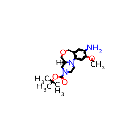 COc1cc2c(cc1N)COC[C@H]1CN(C(=O)OC(C)(C)C)CCN21